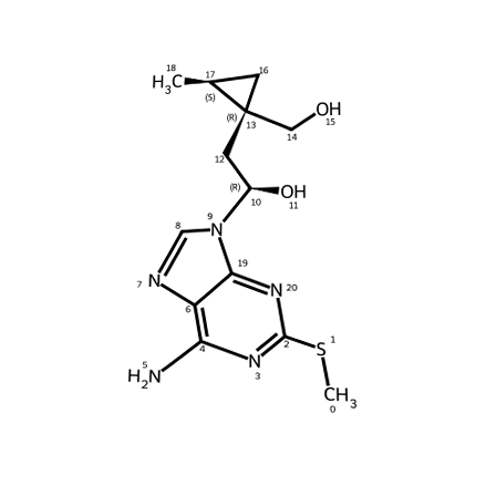 CSc1nc(N)c2ncn([C@H](O)C[C@]3(CO)C[C@@H]3C)c2n1